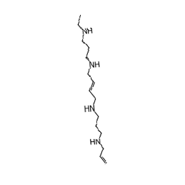 C=CCNCCCNC/C=C/CNCCCNCC